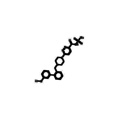 CCOc1cccc(-c2ccccc2CN2CCN(c3ccc(C(=O)NS(=O)(=O)C(C)(C)C)nn3)CC2)c1